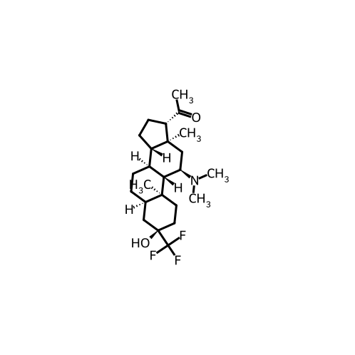 CC(=O)[C@H]1CC[C@H]2[C@@H]3CC[C@@H]4C[C@@](O)(C(F)(F)F)CC[C@]4(C)[C@H]3[C@H](N(C)C)C[C@]12C